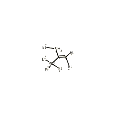 CC[SiH2]C(=C(CC)CC)[Si](CC)(CC)CC